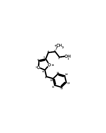 C[C@H](CO)CC1=COC(Cc2ccccc2)O1